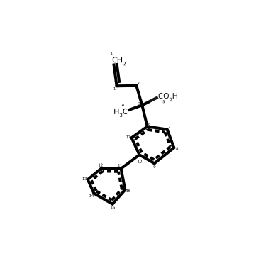 C=CCC(C)(C(=O)O)c1cccc(-c2ccccc2)c1